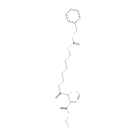 C=C(CCCCCCNC(=O)OCc1ccccc1)C1OC=NC1C(=O)OCC